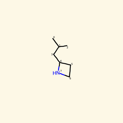 CC(C)CC1CCN1